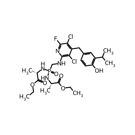 CCOC(=O)[C@H](C)NP(=O)(CNc1nc(F)c(Cl)c(Cc2ccc(O)c(C(C)C)c2)c1Cl)N[C@@H](C)C(=O)OCC